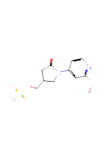 COc1cc(N2CC(COS(C)(=O)=O)CC2=O)ccn1